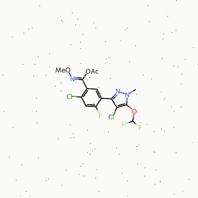 CON=C(OC(C)=O)c1cc(-c2nn(C)c(OC(F)F)c2Cl)c(F)cc1Cl